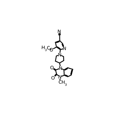 COc1cc(C#N)cnc1N1CCC(n2c(=O)c(=O)n(C)c3ccccc32)CC1